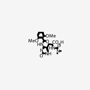 COc1cccc(OC)c1C(=O)Nc1nc(=O)[nH]cc1CC(NC(=O)N(C)C)C(=O)O